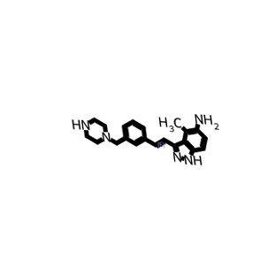 Cc1c(N)ccc2[nH]nc(/C=C/c3cccc(CN4CCNCC4)c3)c12